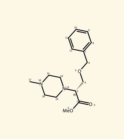 COC(=O)[C@@H](COCc1ccccc1)N1CCN(C)CC1